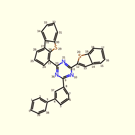 c1ccc(-c2cccc(-c3nc(-c4cc5ccccc5s4)nc(-c4cccc5c4sc4ccccc45)n3)c2)cc1